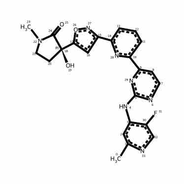 Cc1cc(Nc2nccc(-c3cccc(-c4cc([C@]5(O)CCN(C)C5=O)on4)n3)n2)c(F)cn1